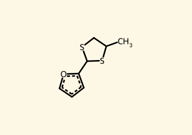 CC1CSC(c2ccco2)S1